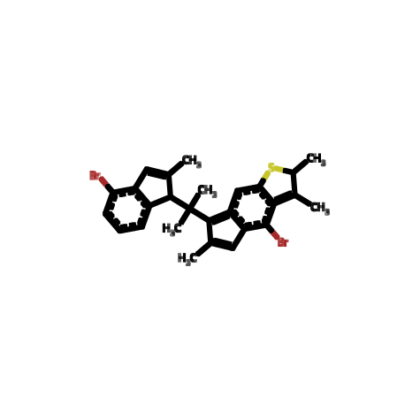 CC1=Cc2c(Br)c3c(cc2=C1C(C)(C)C1C(C)=Cc2c(Br)cccc21)SC(C)C=3C